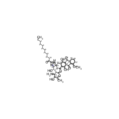 CCCCCCCCCCCC(=O)N/N=C(/CO)[C@]1(O)Cc2c(O)c3c(c(O)c2[C@@H](O[C@H]2C[C@H](N)[C@H](O)[C@H](C)O2)C1)C(=O)c1c(OC)cccc1C3=O